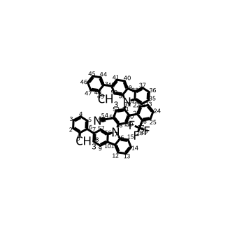 Cc1ccccc1-c1ccc2c3ccccc3n(-c3cc(-c4ccccc4C(F)(F)F)c(-n4c5ccccc5c5ccc(-c6ccccc6C)cc54)cc3C#N)c2c1